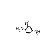 CNc1ccc(N)c(OC)c1